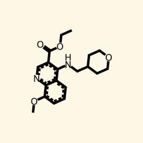 CCOC(=O)c1cnc2c(OC)cccc2c1NCC1CCOCC1